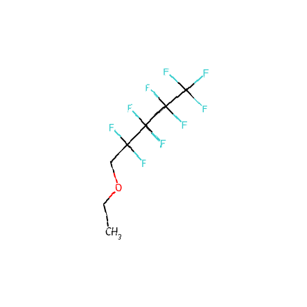 CCOCC(F)(F)C(F)(F)C(F)(F)C(F)(F)F